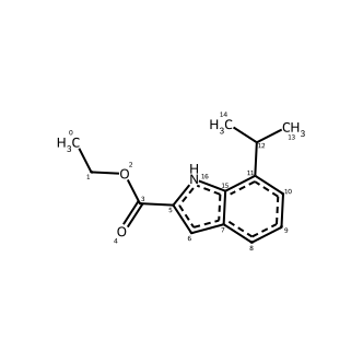 CCOC(=O)c1cc2cccc(C(C)C)c2[nH]1